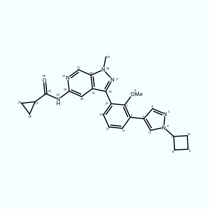 COc1c(-c2cnn(C3CCC3)c2)cccc1-c1nn(C)c2cnc(NC(=O)C3CC3)cc12